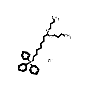 CCCCOC(CCCCCCCC[P+](c1ccccc1)(c1ccccc1)c1ccccc1)OCCCC.[Cl-]